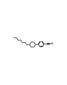 CCCCCCCC1CCC(c2ccc(C#CF)cc2)CC1